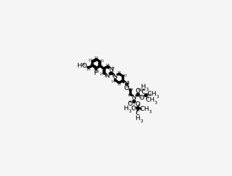 CC(C)(C)OC(=O)N(CCON=C1CCN(c2ncc(-c3cccc(CO)c3F)cn2)CC1)C(=O)OC(C)(C)C